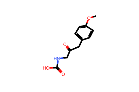 COc1ccc(CC(=O)CNC(=O)O)cc1